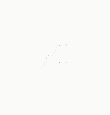 CCc1nn(CC(C)C)c(CC(C)C)c1O